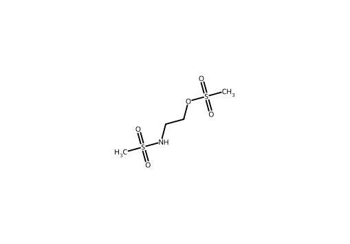 CS(=O)(=O)NCCOS(C)(=O)=O